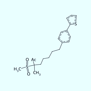 CC(=O)C(C)(CCCCCc1ccc(-c2cccs2)cc1)S(C)(=O)=O